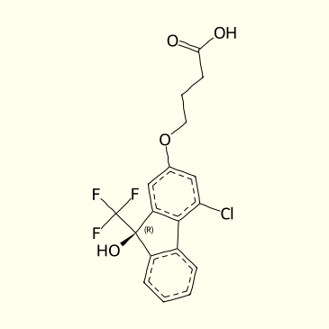 O=C(O)CCCOc1cc(Cl)c2c(c1)[C@@](O)(C(F)(F)F)c1ccccc1-2